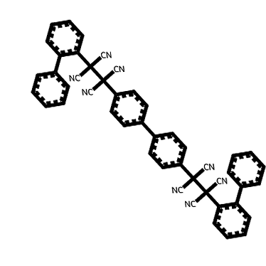 N#CC(C#N)(c1ccc(-c2ccc(C(C#N)(C#N)C(C#N)(C#N)c3ccccc3-c3ccccc3)cc2)cc1)C(C#N)(C#N)c1ccccc1-c1ccccc1